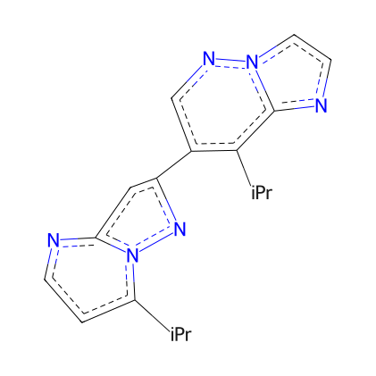 CC(C)c1c(-c2cc3nccc(C(C)C)n3n2)cnn2ccnc12